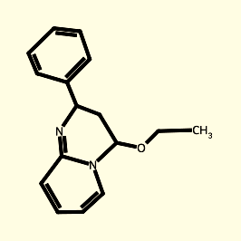 CCOC1CC(c2ccccc2)N=C2C=CC=CN21